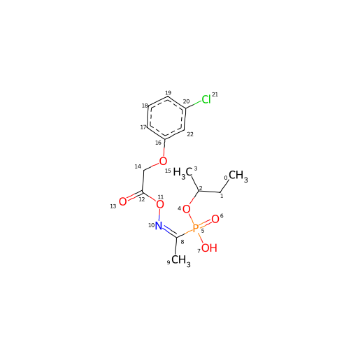 CCC(C)OP(=O)(O)C(C)=NOC(=O)COc1cccc(Cl)c1